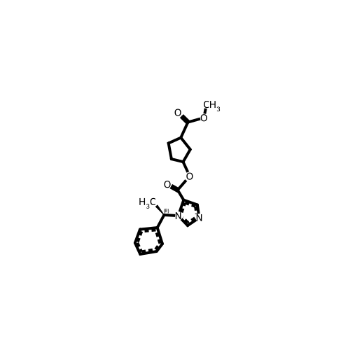 COC(=O)C1CCC(OC(=O)c2cncn2[C@H](C)c2ccccc2)C1